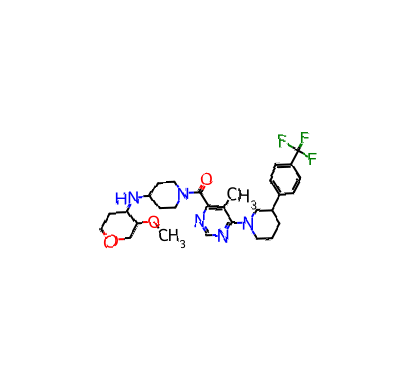 COC1COCCC1NC1CCN(C(=O)c2ncnc(N3CCCC(c4ccc(C(F)(F)F)cc4)C3)c2C)CC1